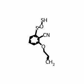 C=CCOc1cccc(SOS)c1C#N